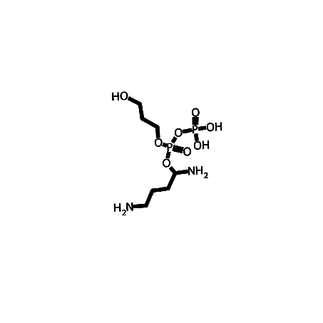 NCCCC(N)OP(=O)(OCCCO)OP(=O)(O)O